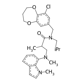 CC(C)CN(Cc1cc(Cl)c2c(c1)OCCCO2)C(=O)C(C)CN(C)c1cccc2ccn(C)c12